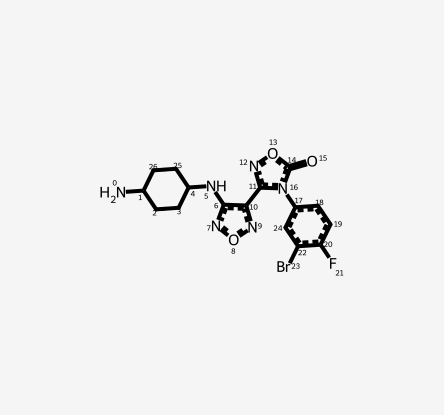 NC1CCC(Nc2nonc2-c2noc(=O)n2-c2ccc(F)c(Br)c2)CC1